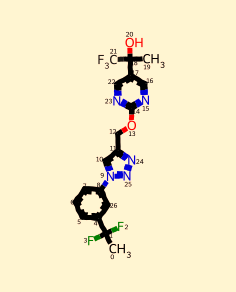 CC(F)(F)c1cccc(-n2cc(COc3ncc(C(C)(O)C(F)(F)F)cn3)nn2)c1